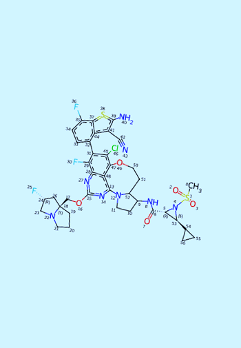 CS(=O)(=O)N1[C@@H](C(=O)NC2CCN3c4nc(OC[C@@]56CCCN5C[C@H](F)C6)nc5c(F)c(-c6ccc(F)c7sc(N)c(C#N)c67)c(Cl)c(c45)OCCC23)[C@@H]1C1CC1